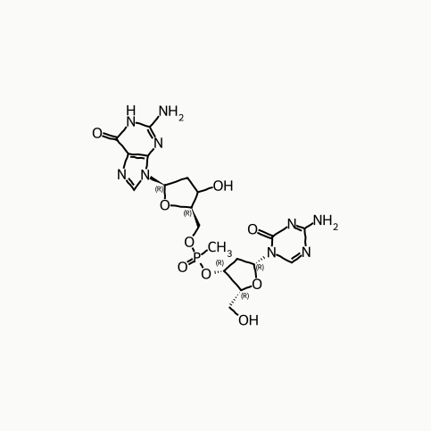 CP(=O)(OC[C@H]1O[C@@H](n2cnc3c(=O)[nH]c(N)nc32)CC1O)O[C@@H]1C[C@H](n2cnc(N)nc2=O)O[C@@H]1CO